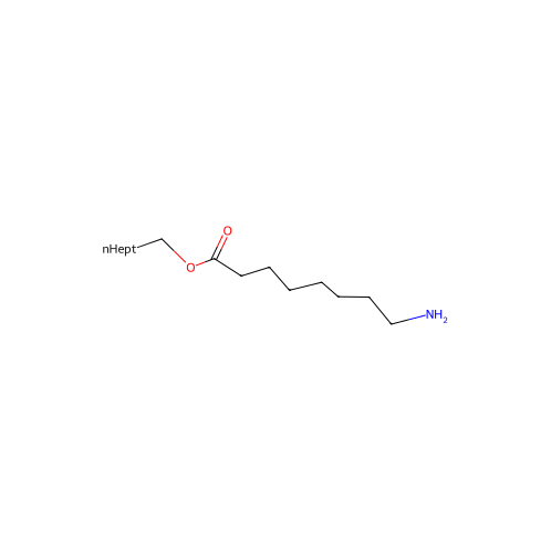 CCCCCCCCOC(=O)CCCCCCCN